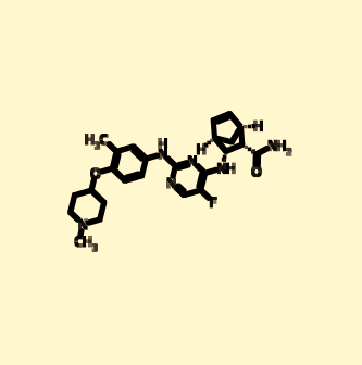 Cc1cc(Nc2ncc(F)c(N[C@H]3[C@@H](C(N)=O)[C@@H]4C=C[C@H]3C4)n2)ccc1OC1CCN(C)CC1